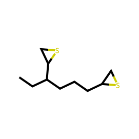 CCC(CCCC1CS1)C1CS1